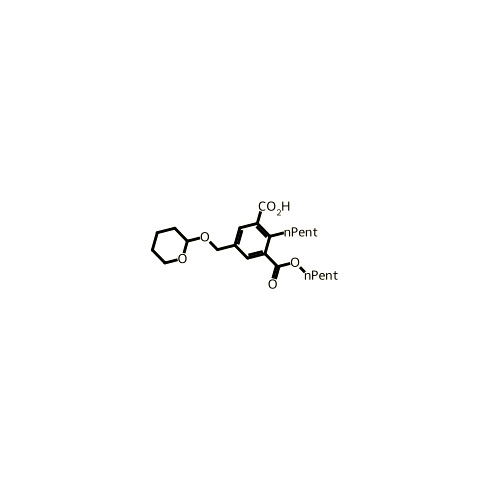 CCCCCOC(=O)c1cc(COC2CCCCO2)cc(C(=O)O)c1CCCCC